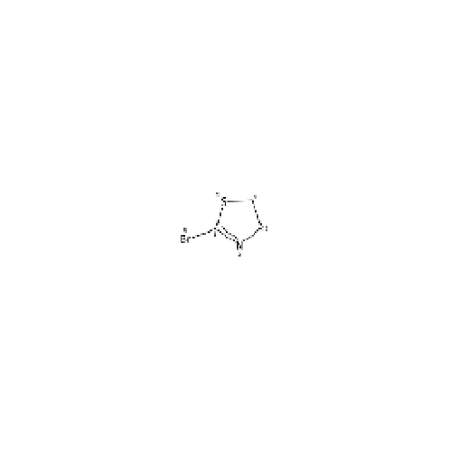 BrC1=N[CH]CS1